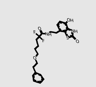 O=C(NCCc1ccc(O)c2[nH]c(=O)sc12)C(F)(F)CCCCOCCc1ccccc1